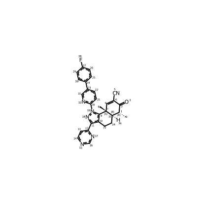 C[C@H]1C(=O)C(C#N)=C[C@@]2(C)c3c(c(-c4ccncn4)nn3-c3ccc(-c4ccc(F)cc4)cn3)CC[C@H]12